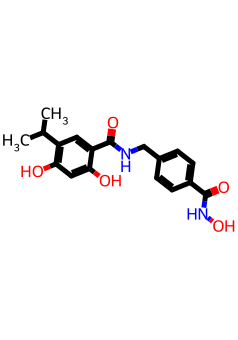 CC(C)c1cc(C(=O)NCc2ccc(C(=O)NO)cc2)c(O)cc1O